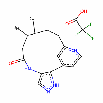 O=C(O)C(F)(F)F.[2H]C1CCc2cc(ccn2)-c2[nH]ncc2NC(=O)CC1[2H]